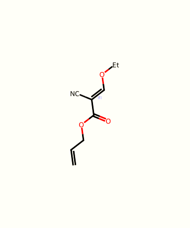 C=CCOC(=O)/C(C#N)=C/OCC